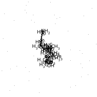 CC[C@H](C)[C@@H]([C@@H](CC(=O)N1CCC[C@H]1C(OC)[C@@H](C)C(=O)N[C@H](C)[C@@H](O)c1ccccc1)OC)N(C)C(=O)C(CNC(=O)C(C(C)C)N(C)C(=O)COC(C)(C)CCOC(C)(C)CCNC(=O)CCCCCC(=O)NN)C(C)C